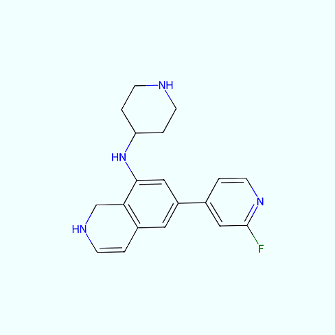 Fc1cc(-c2cc3c(c(NC4CCNCC4)c2)CNC=C3)ccn1